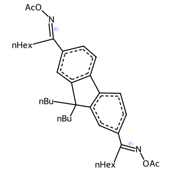 CCCCCC/C(=N\OC(C)=O)c1ccc2c(c1)C(CCCC)(CCCC)c1cc(/C(CCCCCC)=N/OC(C)=O)ccc1-2